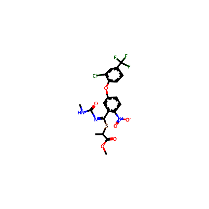 CNC(=O)N=C(SC(C)C(=O)OC)c1cc(Oc2ccc(C(F)(F)F)cc2Cl)ccc1[N+](=O)[O-]